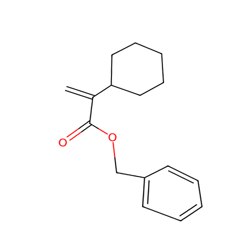 C=C(C(=O)OCc1ccccc1)C1CCCCC1